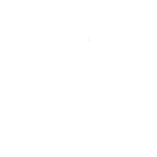 C=CCO[CH]CCCCCCCCCC